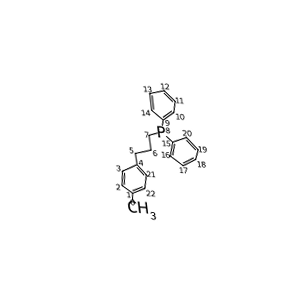 Cc1ccc(CCCP(c2ccccc2)c2ccccc2)cc1